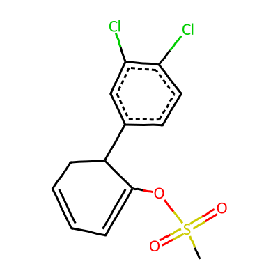 CS(=O)(=O)OC1=CC=CCC1c1ccc(Cl)c(Cl)c1